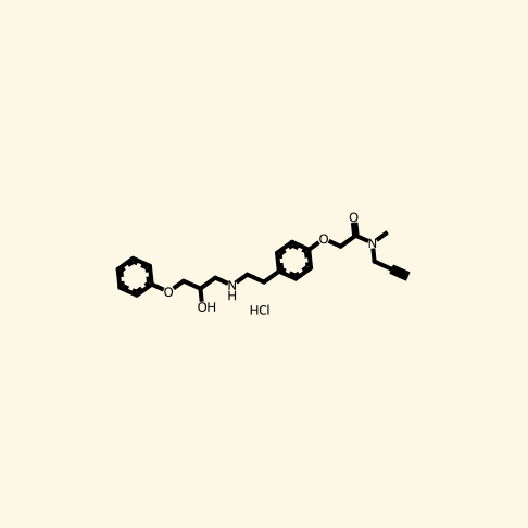 C#CCN(C)C(=O)COc1ccc(CCNCC(O)COc2ccccc2)cc1.Cl